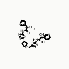 C[C@H](c1cccnc1)C(O)Nc1nnc(C[C@@H]2CC[C@H](c3nnc(NC(=O)[C@H](C)c4cccnc4)s3)C2)s1